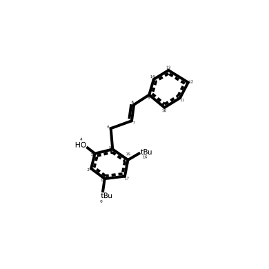 CC(C)(C)c1cc(O)c(C/C=C/c2ccccc2)c(C(C)(C)C)c1